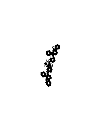 c1cc(-c2ncnc3c2oc2ccc(-n4c5ccccc5c5c6sc7ccccc7c6ccc54)cc23)cc(-n2c3ccccc3c3c4sc5ccccc5c4ccc32)c1